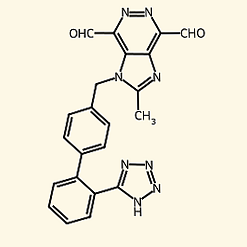 Cc1nc2c(C=O)nnc(C=O)c2n1Cc1ccc(-c2ccccc2-c2nnn[nH]2)cc1